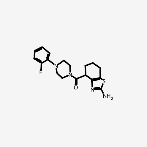 Nc1nc2c(s1)CCCC2C(=O)N1CCN(c2ccccc2F)CC1